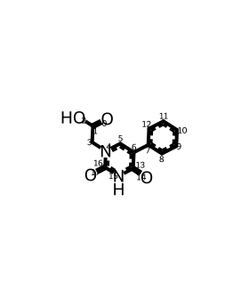 O=C(O)Cn1cc(-c2ccccc2)c(=O)[nH]c1=O